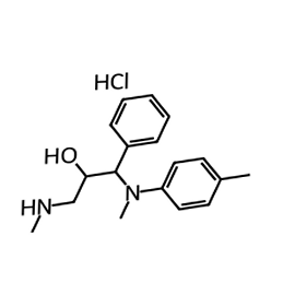 CNCC(O)C(c1ccccc1)N(C)c1ccc(C)cc1.Cl